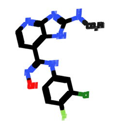 CCOC(=O)Nc1nc2nccc(/C(=N/O)Nc3ccc(F)c(Cl)c3)c2[nH]1